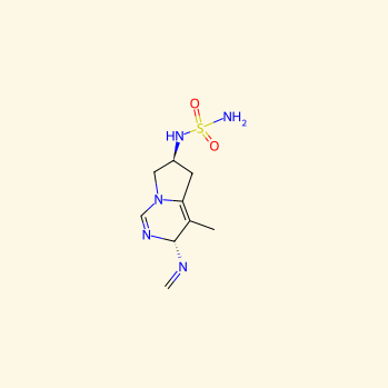 C=N[C@@H]1N=CN2C[C@@H](NS(N)(=O)=O)CC2=C1C